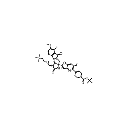 COc1ccc2c(c1F)C(=O)N(C[C@@]1(c3cc4nc(C5=CCN(C(=O)OC(C)(C)C)CC5)c(F)cc4o3)NC(=O)N(COCC[Si](C)(C)C)C1=O)C2